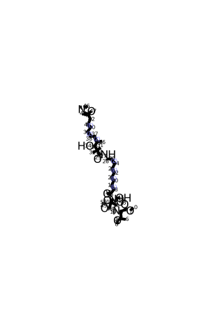 COC(=O)C(C(C)OC)N(C)C(=O)C1(N(O)C(=O)/C=C/C=C/C=C/C=C\CNC(=O)C(C)(C)C(O)\C(C)=C/C=C\C=C\Cc2cnco2)COCO1